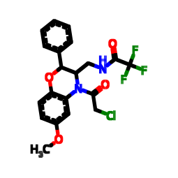 COc1ccc2c(c1)N(C(=O)CCl)C(CNC(=O)C(F)(F)F)C(c1ccccc1)O2